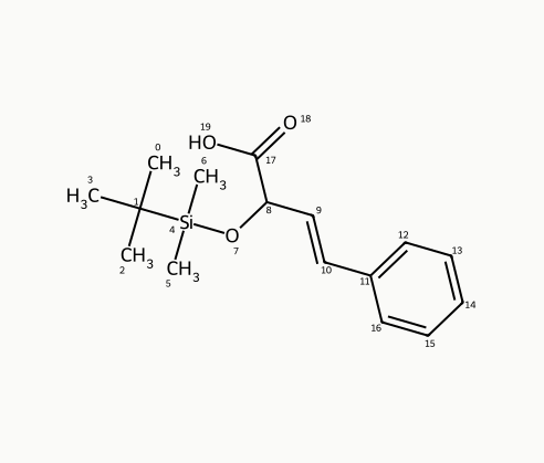 CC(C)(C)[Si](C)(C)OC(/C=C/c1ccccc1)C(=O)O